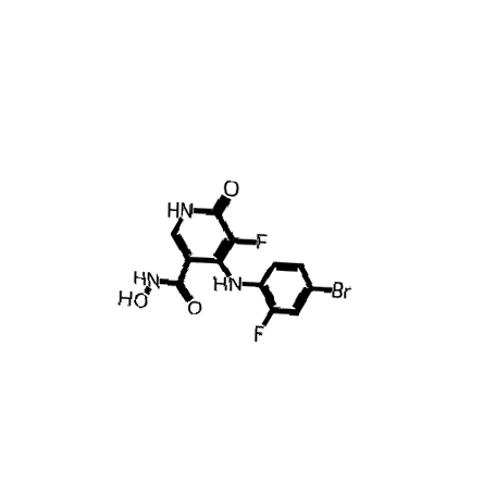 O=C(NO)c1c[nH]c(=O)c(F)c1Nc1ccc(Br)cc1F